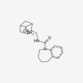 CC1(C)C2CCC(CNC(=O)N3CCCCc4ccccc43)C1C2